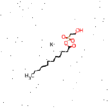 CCCCCCCCCCCC(=O)OS(=O)(=O)CCO.[K]